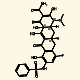 CN(C)[C@@H]1C(O)=C(C(N)=O)C(=O)[C@@]2(O)C(O)=C3C(=O)c4c(O)c(NS(=O)(=O)c5ccccc5)cc(F)c4C[C@H]3C[C@@H]12